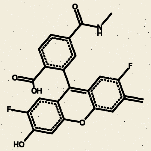 C=c1cc2c(cc1F)=C(c1cc(C(=O)NC)ccc1C(=O)O)c1cc(F)c(O)cc1O2